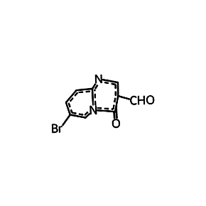 O=Cc1cnc2ccc(Br)cn2c1=O